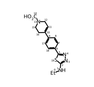 CCNc1nnc(-c2ccc(C3=CCN(C(=O)O)CC3)cc2)s1